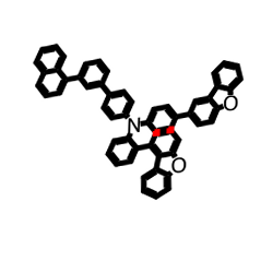 c1cc(-c2ccc(N(c3ccc(-c4ccc5oc6ccccc6c5c4)cc3)c3ccccc3-c3cccc4oc5ccccc5c34)cc2)cc(-c2cccc3ccccc23)c1